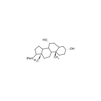 CCCC(C)C1CCC2C3C(CC[C@]12C)[C@@]1(C)CC[C@@H](O)CC1C[C@H]3O